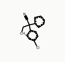 CCC(C#N)(c1ccccc1)c1ccc(Cl)cc1